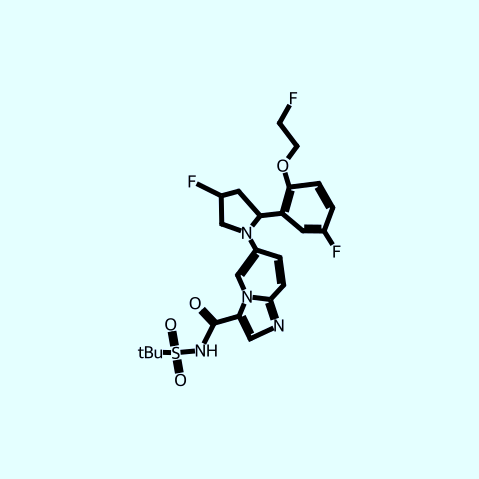 CC(C)(C)S(=O)(=O)NC(=O)c1cnc2ccc(N3CC(F)CC3c3cc(F)ccc3OCCF)cn12